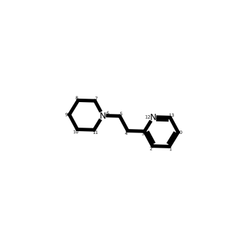 [c]1ccc(CCN2CCCCC2)nc1